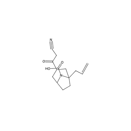 C=CCC12CCC(CC(C(=O)CC#N)C1)N2C(=O)O